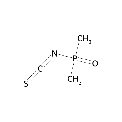 CP(C)(=O)N=C=S